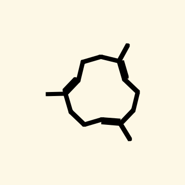 C/C1=C\CC/C(C)=C/CC/C(C)=C/CC1